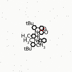 Cc1cc2c3c(c1)N(c1c(C)cc(C(C)(C)C)cc1C)c1oc4ccccc4c1B3c1cc3c(cc1N2c1ccc(C(C)(C)C)cc1-c1ccccc1)OCO3